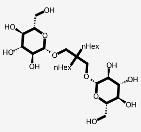 CCCCCCC(CCCCCC)(CO[C@H]1O[C@@H](CO)[C@H](O)[C@@H](O)[C@@H]1O)CO[C@H]1O[C@@H](CO)[C@H](O)[C@@H](O)[C@@H]1O